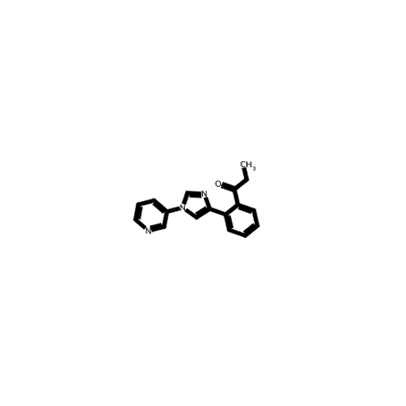 CCC(=O)c1cc[c]cc1-c1cn(-c2cccnc2)cn1